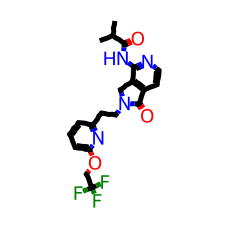 CC(C)C(=O)Nc1nccc2c1CN(CCc1cccc(OCC(F)(F)F)n1)C2=O